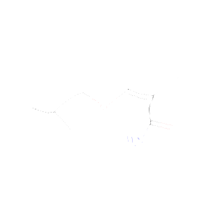 CC(=COCC(C)C)C(N)=O